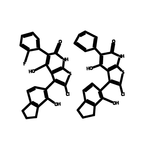 O=c1[nH]c2sc(Cl)c(-c3ccc4c(c3O)CCC4)c2c(O)c1-c1ccccc1.O=c1[nH]c2sc(Cl)c(-c3ccc4c(c3O)CCC4)c2c(O)c1-c1ccccc1F